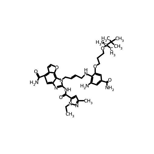 CCn1nc(C)cc1C(=O)Nc1nc2cc(C(N)=O)c3ccoc3c2n1C/C=C/CNc1c(N)cc(C(N)=O)cc1OCCCO[Si](C)(C)C(C)(C)C